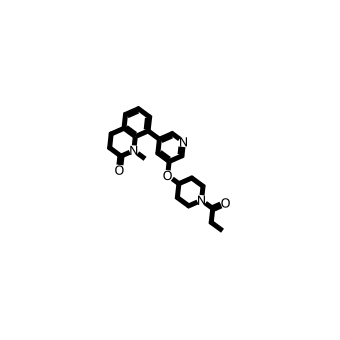 CCC(=O)N1CCC(Oc2cncc(-c3cccc4c3N(C)C(=O)CC4)c2)CC1